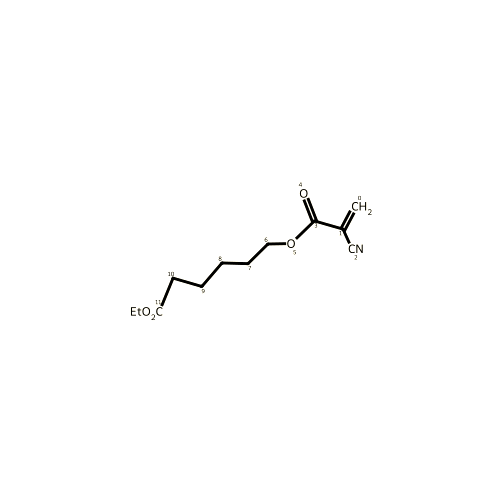 C=C(C#N)C(=O)OCCCCCC(=O)OCC